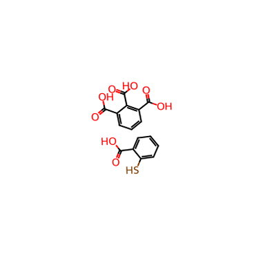 O=C(O)c1cccc(C(=O)O)c1C(=O)O.O=C(O)c1ccccc1S